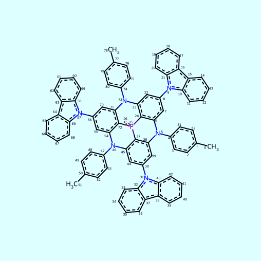 Cc1ccc(N2c3cc(-n4c5ccccc5c5ccccc54)cc4c3P3(=S)c5c2cc(-n2c6ccccc6c6ccccc62)cc5N(c2ccc(C)cc2)c2cc(-n5c6ccccc6c6ccccc65)cc(c23)N4c2ccc(C)cc2)cc1